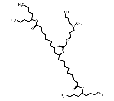 CCCCC(CCCC)OC(=O)CCCCCCCCC(CCCCCCCCC(=O)OC(CCCC)CCCC)OC(=O)COCCCN(C)CCCO